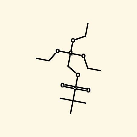 CCO[Si](COS(=O)(=O)C(C)(C)C)(OCC)OCC